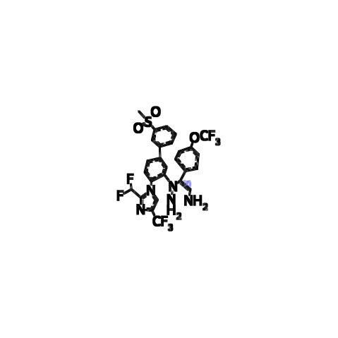 CS(=O)(=O)c1cccc(-c2ccc(-n3cc(C(F)(F)F)nc3C(F)F)c(N(N)/C(=C\N)c3ccc(OC(F)(F)F)cc3)c2)c1